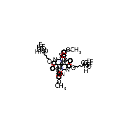 CCOc1ccc2sc(/C(C#N)=c3/c4c(-c5ccc(OCCCCC(=O)NS(=O)(=O)C(F)(F)F)cc5)n(B(c5ccccc5)c5ccccc5)/c(=C(/C#N)c5nc6cc(OCC)ccc6s5)c4c(-c4ccc(OCCCCC(=O)NS(=O)(=O)C(F)(F)F)cc4)n3B(c3ccccc3)c3ccccc3)nc2c1